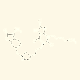 CCCCCn1c(=O)n(CCCc2cnn(Cc3ccc4c(c3)oc(=O)n4C)c2)c(=O)c2[nH]c(Cl)nc21